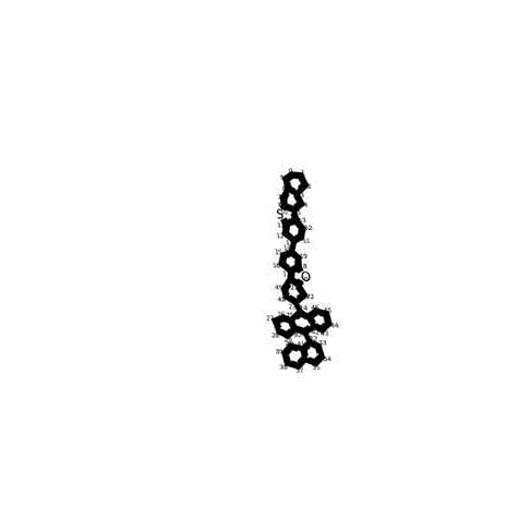 c1ccc2cc3c(cc2c1)sc1cc(-c2ccc4c(c2)oc2cc(-c5c6ccccc6c(-c6cccc7ccccc67)c6ccccc56)ccc24)ccc13